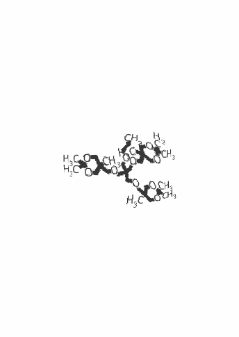 C=CCOCC(COCC1(C)COC(C)(C)OC1)(COCC1(C)COC(C)(C)OC1)COCC1(C)COC(C)(C)OC1